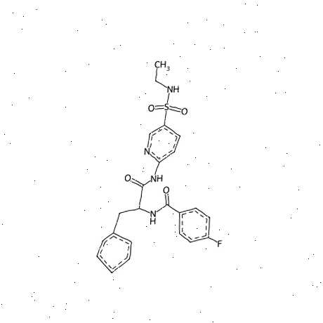 CCNS(=O)(=O)c1ccc(NC(=O)C(Cc2ccccc2)NC(=O)c2ccc(F)cc2)nc1